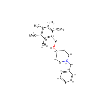 COc1c(C)c(C)c(OC)c(COC2CCN(Cc3ccccc3)CC2)c1C